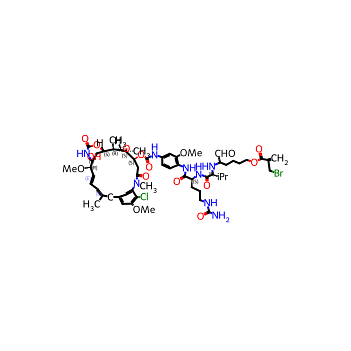 C=C(CBr)C(=O)OCCCCC(C=O)N[C@H](C(=O)N[C@@H](CCCNC(N)=O)C(=O)Nc1ccc(NC(=O)O[C@H]2CC(=O)N(C)c3cc(cc(OC)c3Cl)C/C(C)=C/C=C/[C@@H](OC)[C@@]3(O)C[C@H](OC(=O)N3)[C@@H](C)[C@@H]3O[C@@]23C)cc1OC)C(C)C